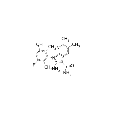 Cc1cc2c(C(N)=O)c(N)n(-c3c(C)c(O)cc(F)c3C)c2nc1C